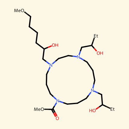 CCC(O)CN1CCCN(CC(O)CC)CCN(CC(O)CCCCOC)CCCN(C(=O)OC)CCC1